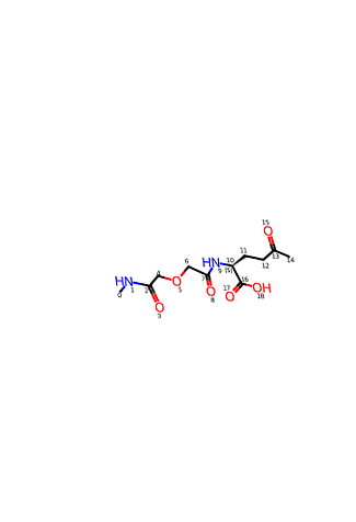 CNC(=O)COCC(=O)N[C@@H](CCC(C)=O)C(=O)O